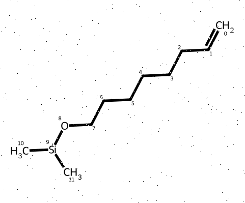 C=CCCCCCCO[Si](C)C